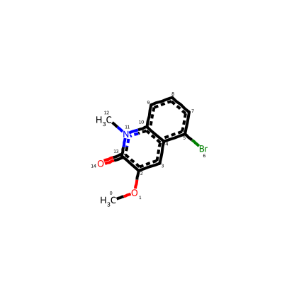 COc1cc2c(Br)cccc2n(C)c1=O